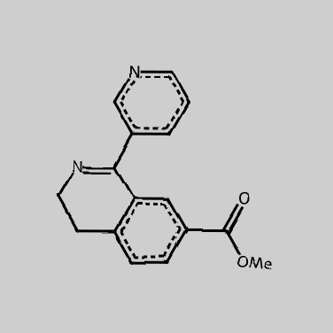 COC(=O)c1ccc2c(c1)C(c1cccnc1)=NCC2